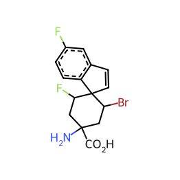 NC1(C(=O)O)CC(F)C2(C=Cc3cc(F)ccc32)C(Br)C1